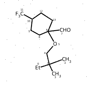 CCC(C)(C)COC1(C=O)CCC(C(F)(F)F)CC1